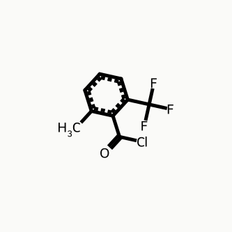 Cc1cccc(C(F)(F)F)c1C(=O)Cl